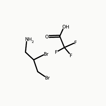 NCC(Br)CBr.O=C(O)C(F)(F)F